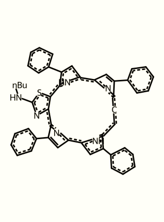 CCCCNc1nc2c3nc(c4cc(-c5ccccc5)c(ccc5nc(c6cc(-c7ccccc7)c([nH]6)c2s1)C=C5c1ccccc1)[nH]4)C=C3c1ccccc1